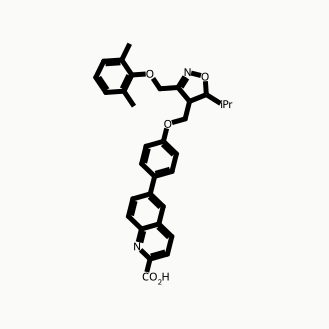 Cc1cccc(C)c1OCC1=NOC(C(C)C)C1COc1ccc(-c2ccc3nc(C(=O)O)ccc3c2)cc1